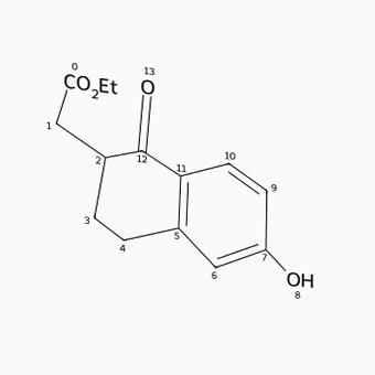 CCOC(=O)CC1CCc2cc(O)ccc2C1=O